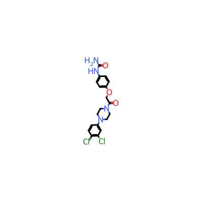 NC(=O)Nc1ccc(OCC(=O)N2CCN(c3ccc(Cl)c(Cl)c3)CC2)cc1